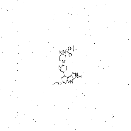 CCOc1cc(-c2ccc(N3CCC(C)(NC(=O)OC(C)(C)C)CC3)nc2)c2c3cn[nH]c3nn2c1